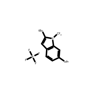 CCCc1ccc2cc(C(C)(C)C)[s+](C(F)(F)F)c2c1.F[B-](F)(F)F